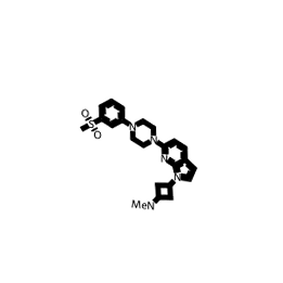 CNC1CC(n2ccc3ccc(N4CCN(c5cccc(S(C)(=O)=O)c5)CC4)nc32)C1